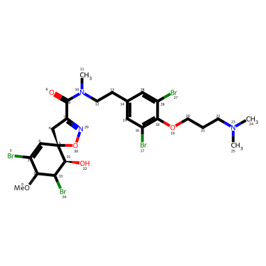 COC1C(Br)=C[C@@]2(CC(C(=O)N(C)CCc3cc(Br)c(OCCCN(C)C)c(Br)c3)=NO2)[C@@H](O)C1Br